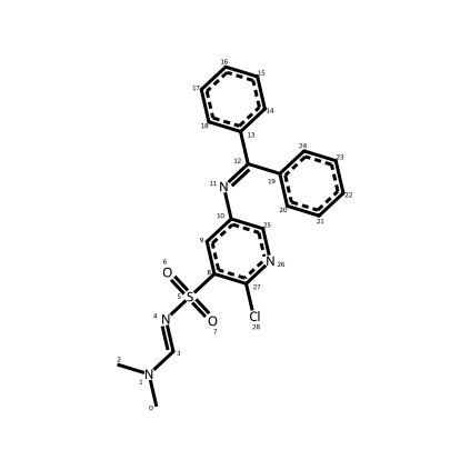 CN(C)C=NS(=O)(=O)c1cc(N=C(c2ccccc2)c2ccccc2)cnc1Cl